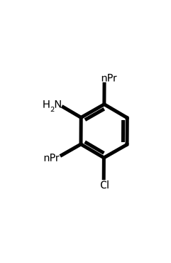 CCCc1ccc(Cl)c(CCC)c1N